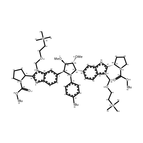 CO[C@H]1[C@H](OC)[C@H](c2ccc3nc(C4CCCN4C(=O)OC(C)(C)C)n(COCC[Si](C)(C)C)c3c2)N(c2ccc(C(C)(C)C)cc2)[C@H]1c1ccc2c(c1)nc([C@@H]1CCCN1C(=O)OC(C)(C)C)n2COCC[Si](C)(C)C